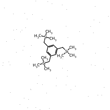 C[Si](C)(C)Cc1cc(C[Si](C)(C)C)cc(C[Si](C)(C)C)c1